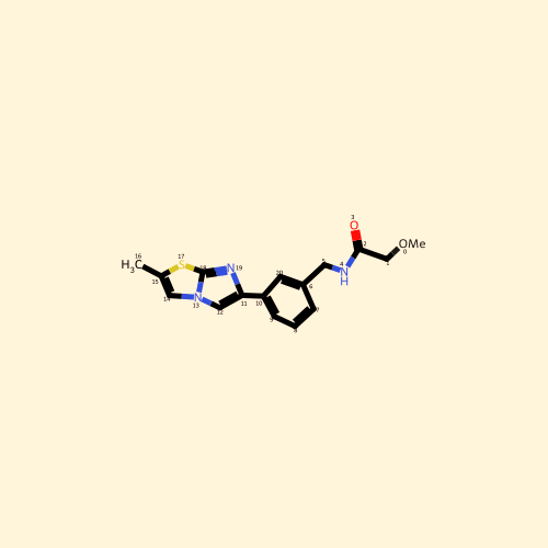 COCC(=O)NCc1cccc(-c2cn3cc(C)sc3n2)c1